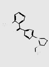 COc1ccccc1C(=O)c1ccc(N2CCC[C@H]2CO)cc1